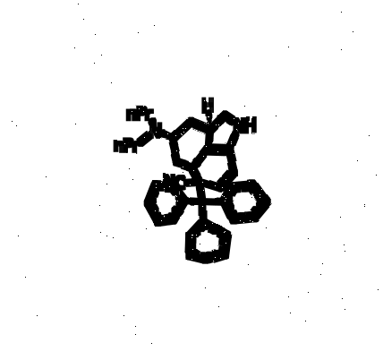 CCCN(CCC)[C@@H]1CC2C3=C(C=CC2(C#N)C(c2ccccc2)(c2ccccc2)c2ccccc2)NC[C@@H]3C1